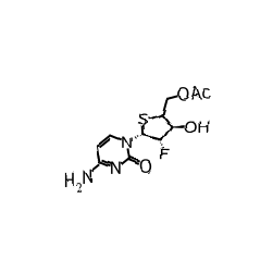 CC(=O)OCC1S[C@@H](n2ccc(N)nc2=O)[C@@H](F)[C@@H]1O